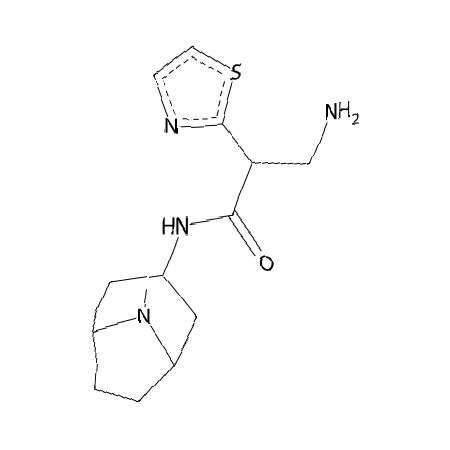 CN1C2CCC1CC(NC(=O)C(CN)c1nccs1)C2